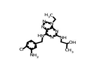 CCn1nnc2c(NCc3ccc(Cl)c(N)c3)nc(NCC(C)O)nc21